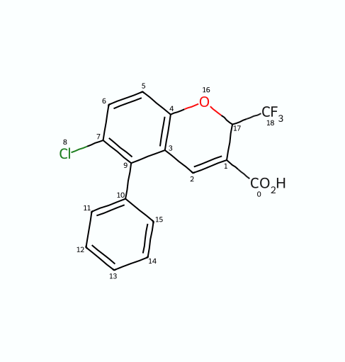 O=C(O)C1=Cc2c(ccc(Cl)c2-c2ccccc2)OC1C(F)(F)F